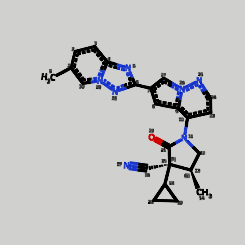 Cc1ccc2nc(-c3cc4c(N5C[C@@H](C)[C@@](C#N)(C6CC6)C5=O)ccnn4c3)nn2c1